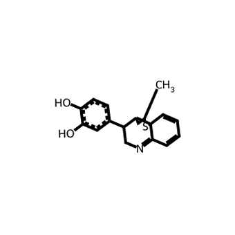 CC1CC2C(c3ccc(O)c(O)c3)CN=C3C=CC=CC32S1